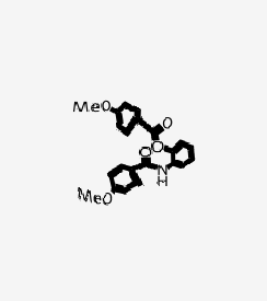 COc1ccc(C(=O)Nc2ccccc2OC(=O)c2ccc(OC)cc2)cc1